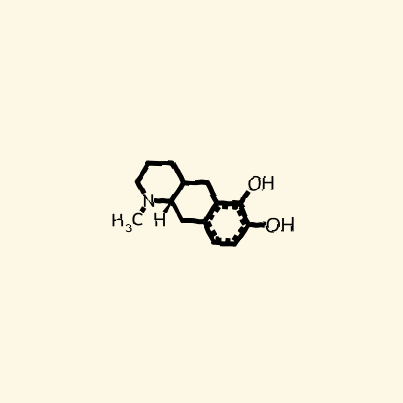 CN1CCCC2Cc3c(ccc(O)c3O)C[C@@H]21